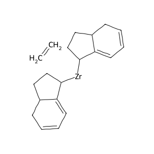 C1=CCC2CC[CH]([Zr][CH]3CCC4CC=CC=C43)C2=C1.C=C